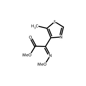 CON=C(C(=O)OC)c1ncsc1C